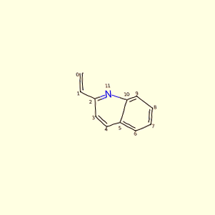 [CH]=Cc1ccc2ccccc2n1